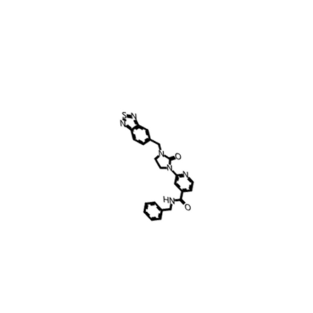 O=C(NCc1ccccc1)c1ccnc(N2CCN(Cc3ccc4nsnc4c3)C2=O)c1